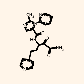 Cc1ncc(C(=O)NC(CCc2ccncc2)C(=O)C(N)=O)n1-c1ccccn1